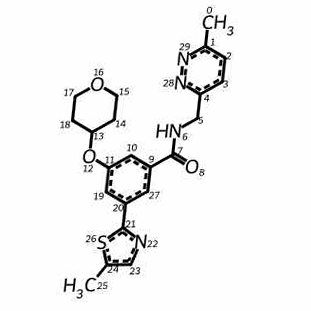 Cc1ccc(CNC(=O)c2cc(OC3CCOCC3)cc(-c3ncc(C)s3)c2)nn1